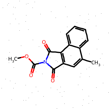 COC(=O)N1C(=O)c2cc(C)c3ccccc3c2C1=O